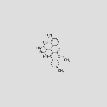 Bc1c(N)cccc1C1C(C(=O)OCC)=C(C2CCN(C)CC2)Nc2n[nH]cc21